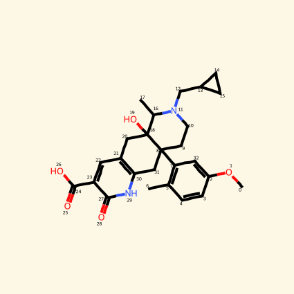 COc1ccc(C)c(C23CCN(CC4CC4)C(C)C2(O)Cc2cc(C(=O)O)c(=O)[nH]c2C3)c1